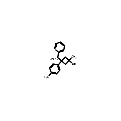 CC1(O)CC(c2ccc(C(F)(F)F)cc2)([C@H](O)c2ccccn2)C1